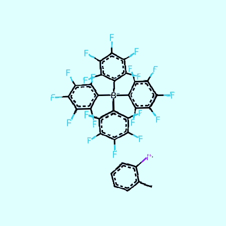 Cc1ccccc1[I+].Fc1c(F)c(F)c([B-](c2c(F)c(F)c(F)c(F)c2F)(c2c(F)c(F)c(F)c(F)c2F)c2c(F)c(F)c(F)c(F)c2F)c(F)c1F